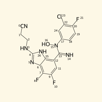 N#CCCNc1nc2c(F)c(F)cc(C(=N)N(O)c3ccc(F)c(Cl)c3)c2[nH]1